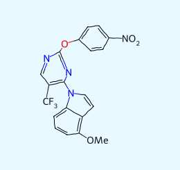 COc1cccc2c1ccn2-c1nc(Oc2ccc([N+](=O)[O-])cc2)ncc1C(F)(F)F